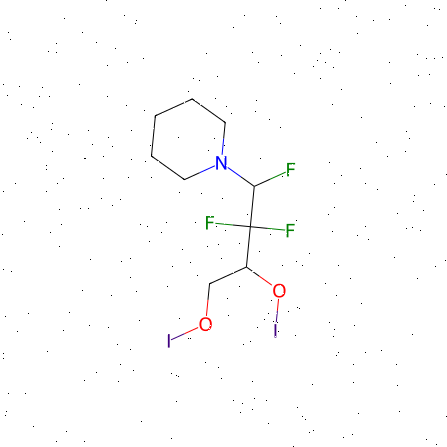 FC(N1CCCCC1)C(F)(F)C(COI)OI